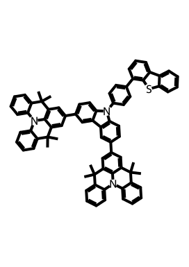 CC1(C)c2ccccc2N2c3ccccc3C(C)(C)c3cc(-c4ccc5c(c4)c4cc(-c6cc7c8c(c6)C(C)(C)c6ccccc6N8c6ccccc6C7(C)C)ccc4n5-c4ccc(-c5cccc6c5sc5ccccc56)cc4)cc1c32